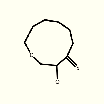 [O]C1CCCCCCCCC1=S